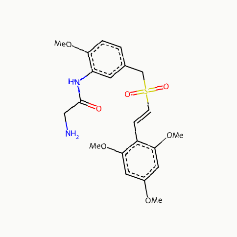 COc1cc(OC)c(C=CS(=O)(=O)Cc2ccc(OC)c(NC(=O)CN)c2)c(OC)c1